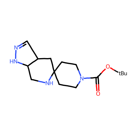 CC(C)(C)OC(=O)N1CCC2(CC1)CC1C=NNC1CN2